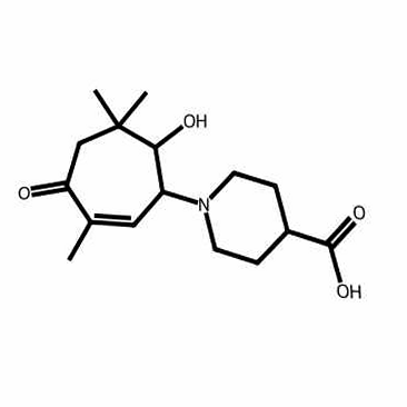 CC1=CC(N2CCC(C(=O)O)CC2)C(O)C(C)(C)CC1=O